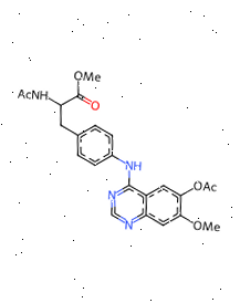 COC(=O)C(Cc1ccc(Nc2ncnc3cc(OC)c(OC(C)=O)cc23)cc1)NC(C)=O